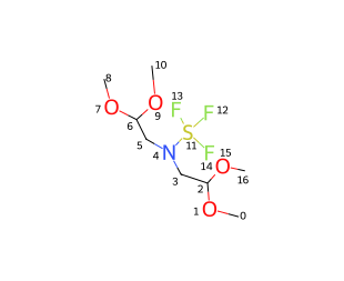 COC(CN(CC(OC)OC)S(F)(F)F)OC